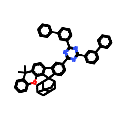 CC1(C)c2ccccc2Oc2c1ccc1c2C2(c3ccc(-c4nc(-c5cccc(-c6ccccc6)c5)nc(-c5cccc(-c6ccccc6)c5)n4)cc3-1)C1CC3CC(C1)CC2C3